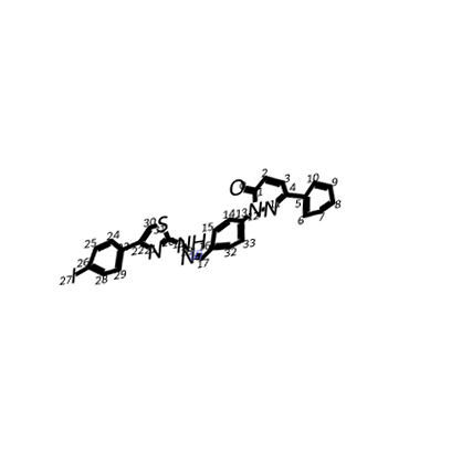 O=c1ccc(-c2ccccc2)nn1-c1ccc(/C=N\Nc2nc(-c3ccc(I)cc3)cs2)cc1